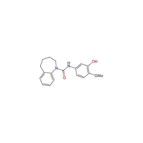 COc1ccc(NC(=O)N2CCCCc3ccccc32)cc1O